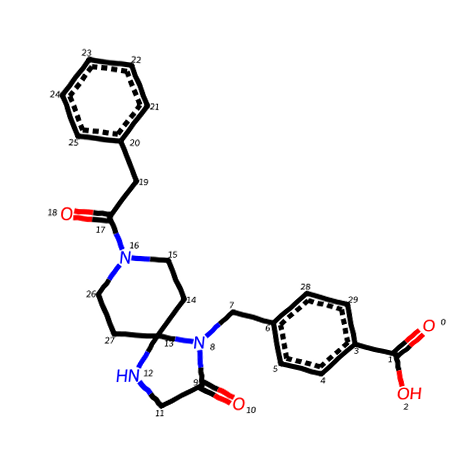 O=C(O)c1ccc(CN2C(=O)CNC23CCN(C(=O)Cc2ccccc2)CC3)cc1